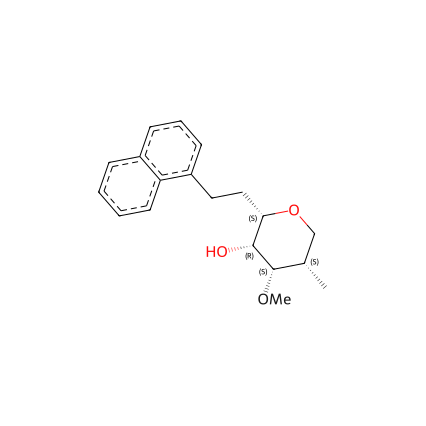 CO[C@@H]1[C@H](O)[C@H](CCc2cccc3ccccc23)OC[C@@H]1C